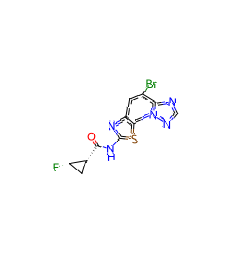 O=C(Nc1nc2cc(Br)c3ncnn3c2s1)[C@@H]1C[C@@H]1F